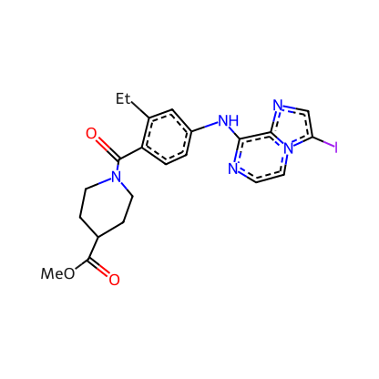 CCc1cc(Nc2nccn3c(I)cnc23)ccc1C(=O)N1CCC(C(=O)OC)CC1